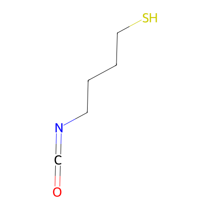 O=C=NCCCCS